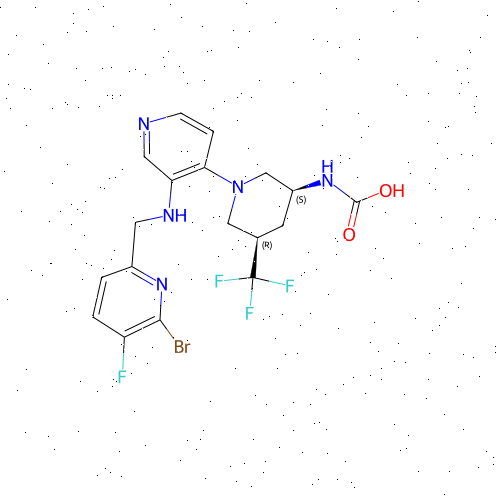 O=C(O)N[C@H]1C[C@@H](C(F)(F)F)CN(c2ccncc2NCc2ccc(F)c(Br)n2)C1